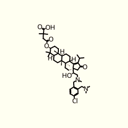 CC(C)C1=C2[C@H]3CC[C@@H]4[C@@]5(C)CC[C@H](OC(=O)CC(C)(C)C(=O)O)C(C)(C)[C@@H]5CC[C@@]4(C)[C@]3(C)CC[C@@]2([C@H](O)CN(C)Cc2ccc(Cl)cc2CN(C)C)CC1=O